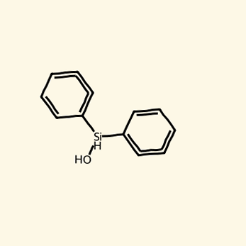 O[SiH](C1=C=C=CC=C1)C1=C=C=CC=C1